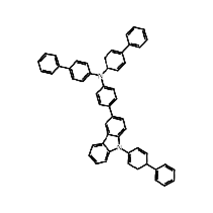 C1=CC(N(c2ccc(-c3ccccc3)cc2)c2ccc(-c3ccc4c(c3)c3ccccc3n4C3=CCC(c4ccccc4)C=C3)cc2)CC=C1c1ccccc1